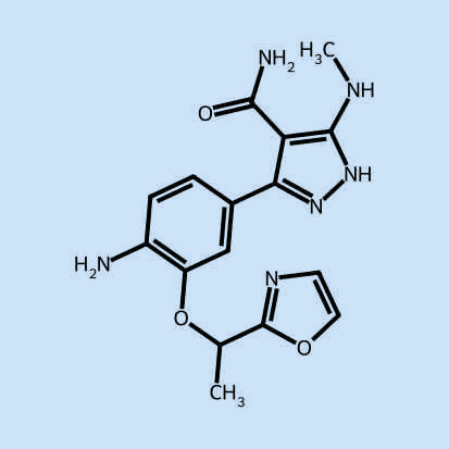 CNc1[nH]nc(-c2ccc(N)c(OC(C)c3ncco3)c2)c1C(N)=O